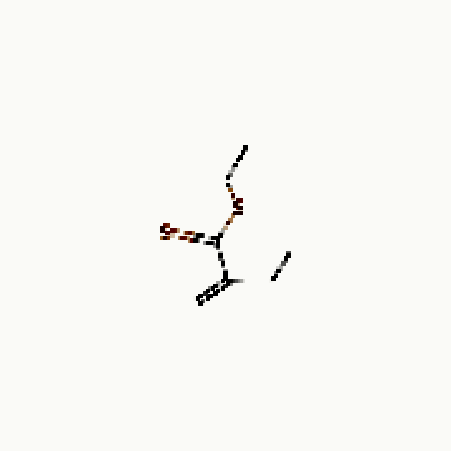 C=C(CC)C(=S)SCC